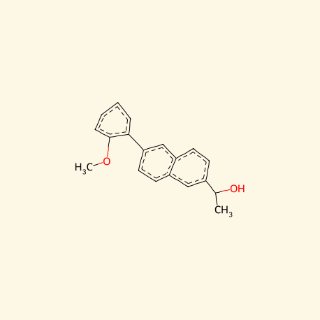 COc1ccccc1-c1ccc2cc(C(C)O)ccc2c1